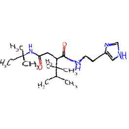 CC(C)C(C)(C)C(CC(=O)NC(C)(C)C)C(=O)NCCc1c[nH]cn1